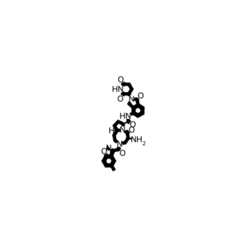 Cc1ccc2onc(C(=O)N3CC[C@H]4CC[C@@H](C(=O)Nc5cccc6c5CN(C5CCC(=O)NC5=O)C6=O)N4C(=O)[C@@H](N)C3)c2c1